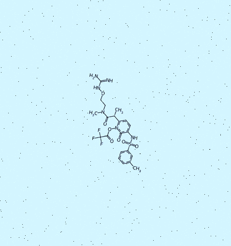 Cc1cccc(S(=O)(=O)Nc2ccc(C(C)C(=O)N(C)CCONC(=N)N)n(OC(=O)C(F)(F)F)c2=O)c1